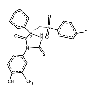 N#Cc1ccc(N2C(=O)[C@@](CS(=O)(=O)c3ccc(F)cc3)(c3ccccc3)NC2=S)cc1C(F)(F)F